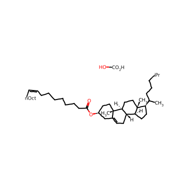 CCCCCCCC/C=C\CCCCCCCC(=O)O[C@H]1CC[C@@]2(C)C(=CC[C@H]3[C@@H]4CC[C@H](C(C)CCCC(C)C)[C@@]4(C)CC[C@@H]32)C1.O=C(O)O